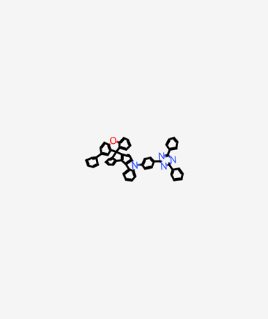 c1ccc(-c2ccc3c(c2)C2(c4ccccc4O3)c3ccccc3-c3c2ccc2c3c3ccccc3n2-c2ccc(-c3nc(-c4ccccc4)nc(-c4ccccc4)n3)cc2)cc1